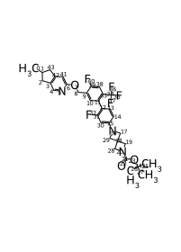 CC1Cc2cnc(OCc3cc(-c4ccc(N5CC6(CN(C(=O)OC(C)(C)C)C6)C5)cc4F)c(C(F)(F)F)cc3F)cc2C1